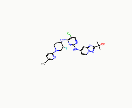 CC(C)(O)c1nc2cc(Nc3ncc(Cl)c(NC4CCN(c5ccc(C#N)cn5)CC4F)n3)ccn2n1